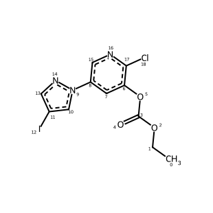 CCOC(=O)Oc1cc(-n2cc(I)cn2)cnc1Cl